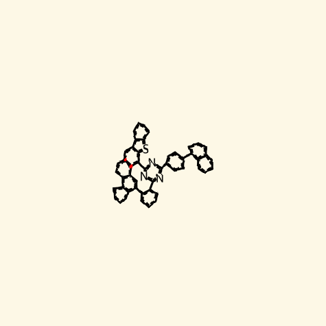 c1ccc(-c2cc3ccccc3c3ccccc23)c(-c2nc(-c3ccc(-c4cccc5ccccc45)cc3)nc(-c3cccc4c3sc3ccccc34)n2)c1